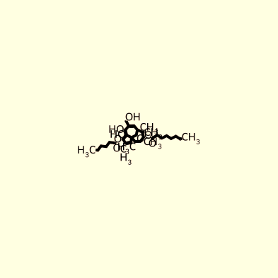 CCCCCCCC(=O)O[C@]1(C)C[C@@H](C)C23C=C(C)C(OC(=O)CCCCC)C2(O)C(O)C(CO)=CC(C3=O)C1(C)C